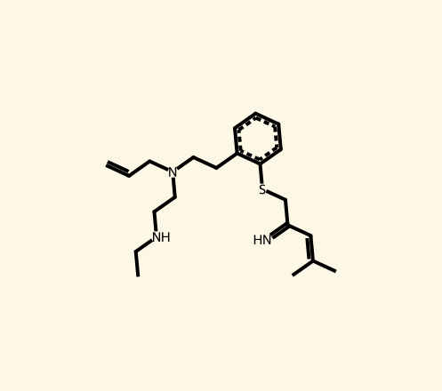 C=CCN(CCNCC)CCc1ccccc1SCC(=N)C=C(C)C